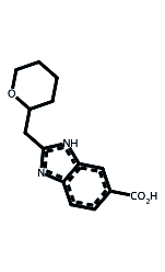 O=C(O)c1ccc2nc(CC3CCCCO3)[nH]c2c1